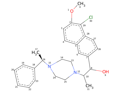 COc1ccc2cc(C(O)C(C)N3CCN([C@H](C)c4ccccc4)CC3)ccc2c1Cl